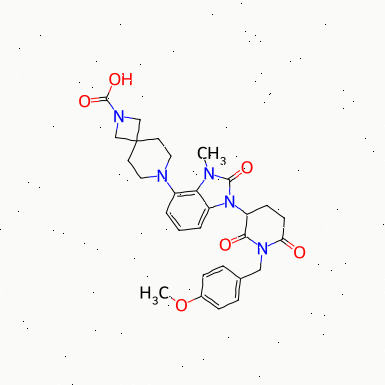 COc1ccc(CN2C(=O)CCC(n3c(=O)n(C)c4c(N5CCC6(CC5)CN(C(=O)O)C6)cccc43)C2=O)cc1